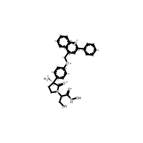 CC(C)CC(C(=O)NO)N1CC[C@@](N)(c2ccc(OCc3cc(-c4ccccc4)nc4ccccc34)cc2)C1=O